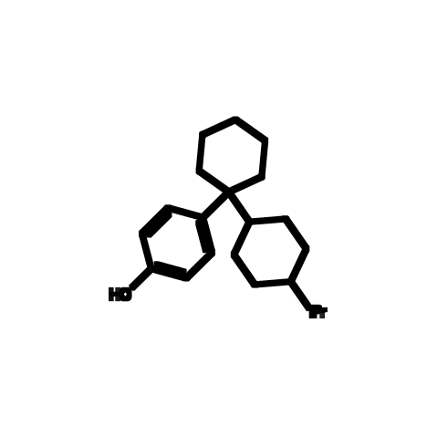 CC(C)C1CCC(C2(c3ccc(O)cc3)CCCCC2)CC1